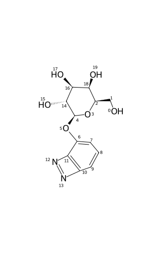 OC[C@H]1O[C@@H](Oc2cccc3c2N=N3)[C@H](O)[C@@H](O)[C@H]1O